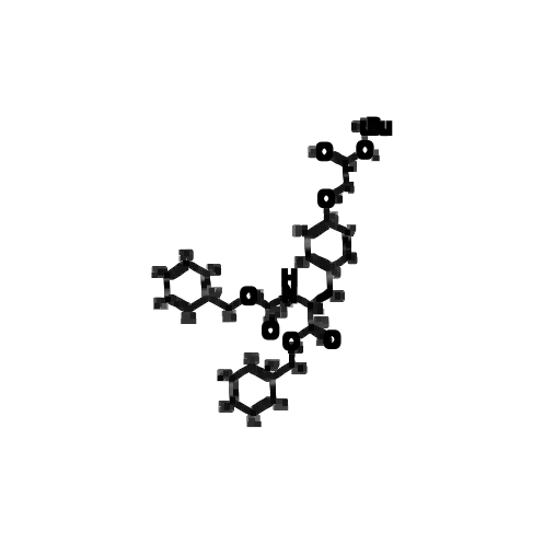 CC(C)(C)OC(=O)COc1ccc(C[C@H](NC(=O)OCc2ccccc2)C(=O)OCc2ccccc2)cc1